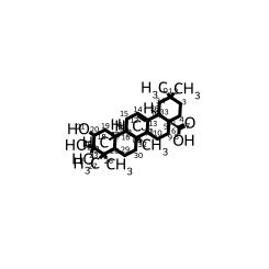 CC1(C)CC[C@]2(C(=O)O)CC[C@]3(C)C(=CC[C@@H]4[C@@]5(C)CC(O)C(O)(O)C(C)(C)C5CC[C@]43C)[C@H]2C1